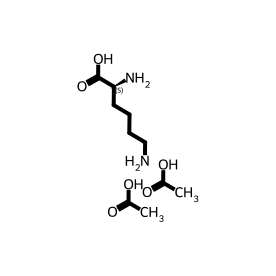 CC(=O)O.CC(=O)O.NCCCC[C@H](N)C(=O)O